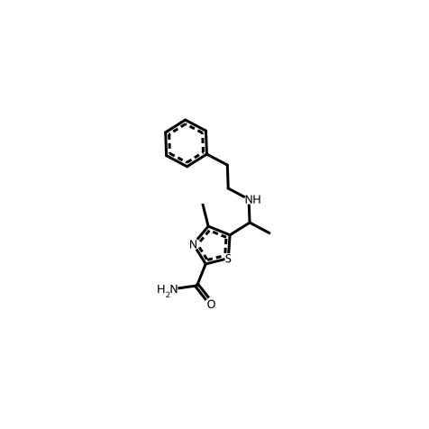 Cc1nc(C(N)=O)sc1C(C)NCCc1ccccc1